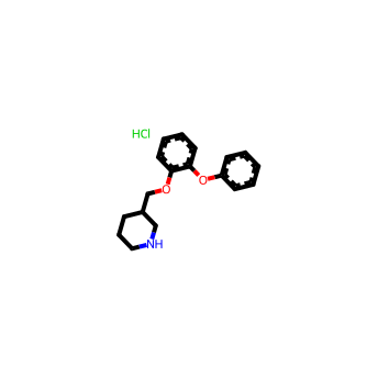 Cl.c1ccc(Oc2ccccc2OCC2CCCNC2)cc1